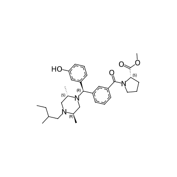 CCC(C)CN1C[C@H](C)N([C@@H](c2cccc(O)c2)c2cccc(C(=O)N3CCC[C@H]3C(=O)OC)c2)C[C@H]1C